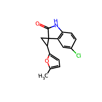 Cc1ccc(C2CC23C(=O)Nc2ccc(Cl)cc23)o1